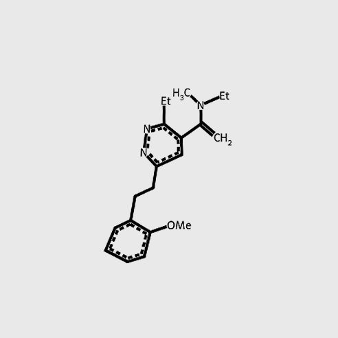 C=C(c1cc(CCc2ccccc2OC)nnc1CC)N(C)CC